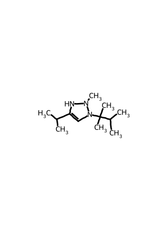 CC(C)C1=CN(C(C)(C)C(C)C)N(C)N1